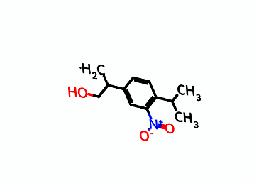 [CH2]C(CO)c1ccc(C(C)C)c([N+](=O)[O-])c1